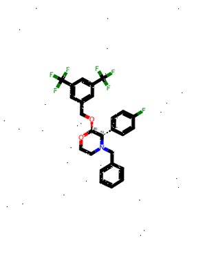 Fc1ccc([C@H]2[C@H](OCc3cc(C(F)(F)F)cc(C(F)(F)F)c3)OCCN2Cc2ccccc2)cc1